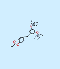 CCC(=O)Oc1ccc(/C=C/c2cc(O[Si](CC)(CC)CC)cc(O[Si](CC)(CC)CC)c2)cc1